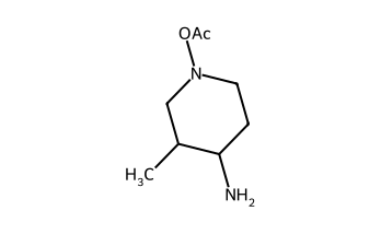 CC(=O)ON1CCC(N)C(C)C1